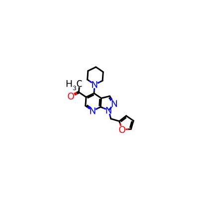 CC(=O)c1cnc2c(cnn2Cc2ccco2)c1N1CCCCC1